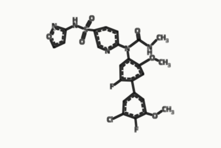 CNC(=O)N(c1ccc(S(=O)(=O)Nc2ccon2)cn1)c1cc(F)c(-c2cc(Cl)c(F)c(OC)c2)cc1OC